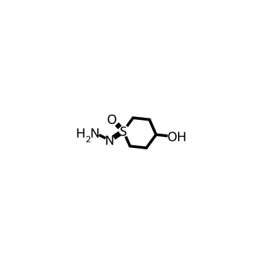 NN=S1(=O)CCC(O)CC1